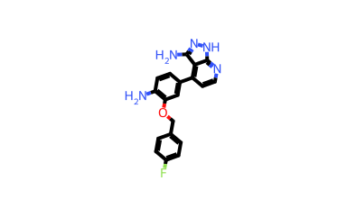 Nc1ccc(-c2ccnc3[nH]nc(N)c23)cc1OCc1ccc(F)cc1